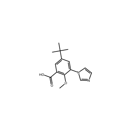 COc1c(C(=O)O)cc(C(C)(C)C)cc1-n1ccnc1